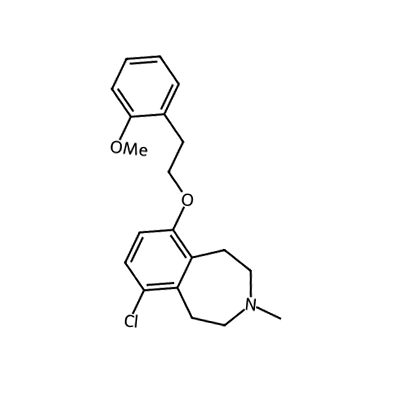 COc1ccccc1CCOc1ccc(Cl)c2c1CCN(C)CC2